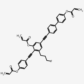 C=CC(=O)Oc1ccc(C#Cc2c(CCCF)cc(C#Cc3ccc(-c4ccc(OC(=O)C=C)cc4)cc3)cc2OC(=O)C=C)cc1